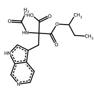 CCC(C)OC(=O)C(Cc1c[nH]c2cnccc12)(NC(C)=O)C(=O)O